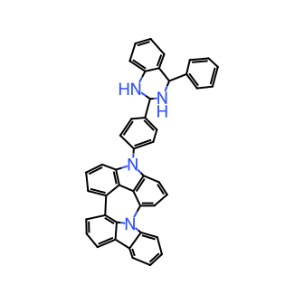 c1ccc(C2NC(c3ccc(-n4c5cccc6c7cccc8c9ccccc9n(c9cccc4c9c65)c78)cc3)Nc3ccccc32)cc1